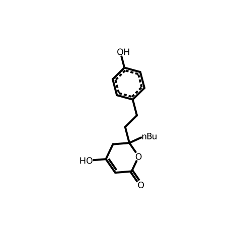 CCCCC1(CCc2ccc(O)cc2)CC(O)=CC(=O)O1